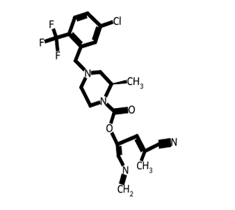 C=N/C=C(\C=C(/C)C#N)OC(=O)N1CCN(Cc2cc(Cl)ccc2C(F)(F)F)C[C@H]1C